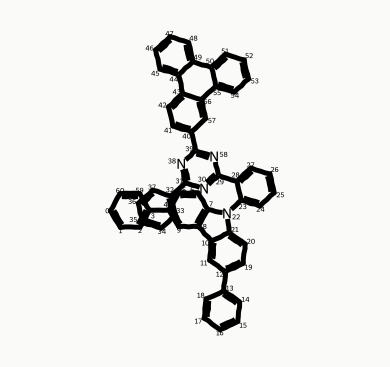 c1ccc(-c2ccc3c(c2)c2cc(-c4ccccc4)ccc2n3-c2ccccc2-c2nc(-c3ccccc3)nc(-c3ccc4c5ccccc5c5ccccc5c4c3)n2)cc1